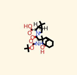 CC(C)(C)OC(=O)N[C@H](C(=O)N1C[C@H]2[C@@H]([C@H]1C(=O)O)C2(C)C)C1(C)C=C2CCCC(O)(C2)C1